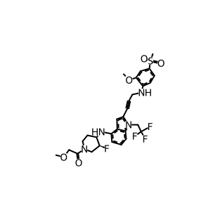 COCC(=O)N1CC[C@@H](Nc2cccc3c2cc(C#CCNc2ccc(S(C)(=O)=O)cc2OC)n3CC(F)(F)F)[C@@H](F)C1